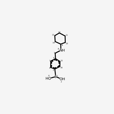 OB(O)c1ccc(CNC2CCCCC2)cc1